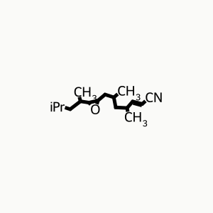 CC(C)CC(C)C1OC1CC(C)CC(C)/C=C/C#N